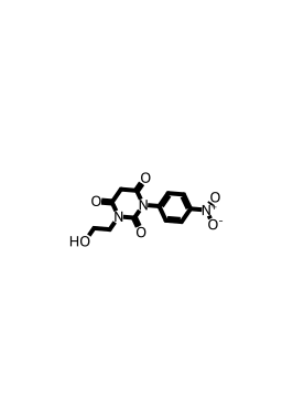 O=C1CC(=O)N(c2ccc([N+](=O)[O-])cc2)C(=O)N1CCO